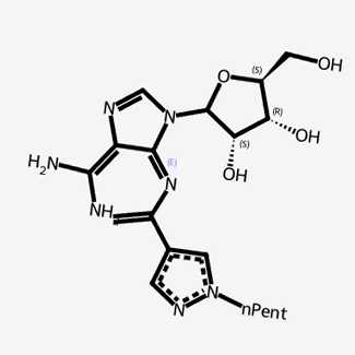 C=C(/N=C1\C(=C(N)N)N=CN1C1O[C@@H](CO)[C@H](O)[C@@H]1O)c1cnn(CCCCC)c1